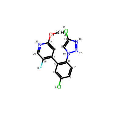 COc1cc(-c2cc(Cl)ccc2-n2cc(Cl)nn2)c(F)cn1